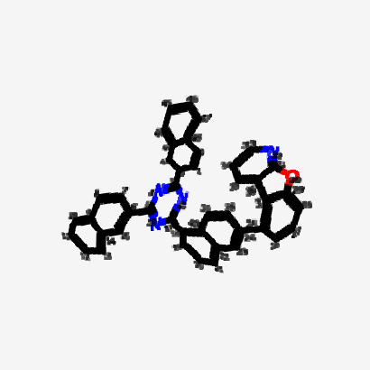 C1=CC(c2nc(-c3ccc4ccccc4c3)nc(-c3cccc4cc(-c5cccc6oc7ncccc7c56)ccc34)n2)Cc2ccccc21